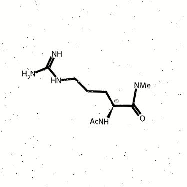 CNC(=O)[C@H](CCCNC(=N)N)NC(C)=O